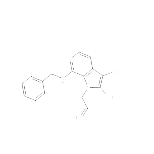 C=CCn1c(C)c(C)c2ccnc(NCc3ccccc3)c21